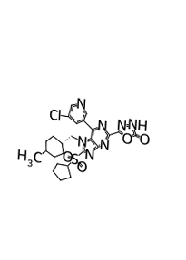 C[C@H]1CC[C@H](Cn2c(S(=O)(=O)C3CCCC3)nc3nc(-c4n[nH]c(=O)o4)nc(-c4cncc(Cl)c4)c32)CC1